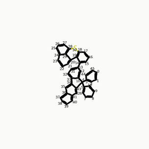 c1ccc(C2(c3ccccc3)c3cc(-c4cccc5c4-c4cccc6cccc(c46)S5)ccc3-c3cc4ccccc4cc32)cc1